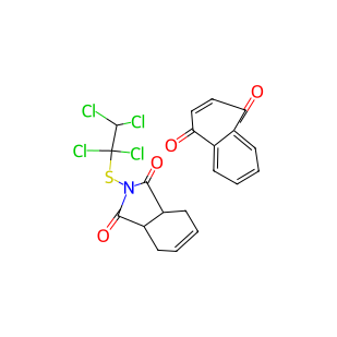 O=C1C2CC=CCC2C(=O)N1SC(Cl)(Cl)C(Cl)Cl.O=C1C=CC(=O)c2ccccc21